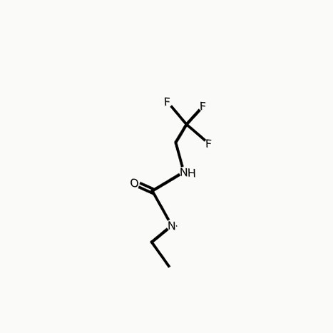 CC[N]C(=O)NCC(F)(F)F